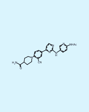 CC(=O)Nc1ccc(Nc2nccc(-c3ccc(N4CCC(C(N)=O)CC4)c(C#N)c3)n2)cn1